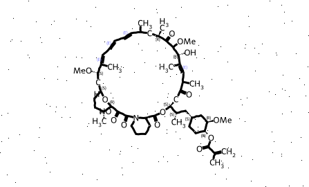 C=C(C)C(=O)O[C@@H]1CC[C@@H](C[C@H](C)[C@@H]2CC(=O)C(C)/C=C(\C)[C@@H](O)C(OC)C(=O)[C@H](C)CC(C)/C=C/C=C/C=C(\C)[C@@H](OC)C[C@@H]3CC[C@@H](C)[C@@](O)(O3)C(=O)C(=O)N3CCCCC3C(=O)O2)C[C@H]1OC